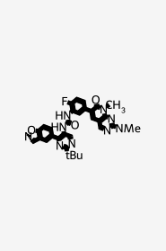 CNc1ncc2cc(-c3ccc(F)c(NC(=O)Nc4cnc(C(C)(C)C)nc4-c4ccc5oncc5c4)c3)c(=O)n(C)c2n1